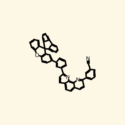 N#Cc1cccc(-c2ccc3ccc4ccc(-c5cccc(-c6ccc7c(c6)C6(c8ccccc8O7)c7ccccc7-c7ccccc76)c5)nc4c3n2)c1